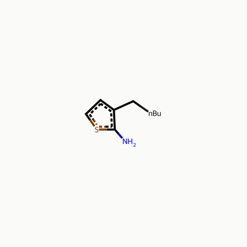 CCCCCc1ccsc1N